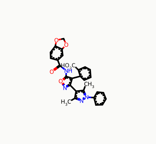 Cc1nn(-c2ccccc2)c(C)c1-c1noc(NC(=O)c2ccc3c(c2)OCO3)c1-c1ccccc1C(=O)O